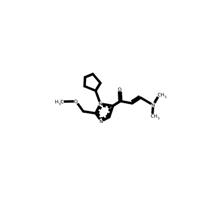 COCc1ncc(C(=O)/C=C/N(C)C)n1C1CCCC1